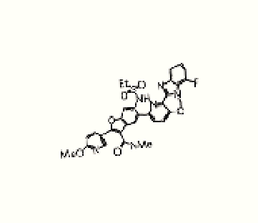 CCS(=O)(=O)Nc1cc2oc(-c3ccc(OC)nc3)c(C(=O)NC)c2cc1-c1ccc2c(n1)-c1nc3cccc(F)c3n1CO2